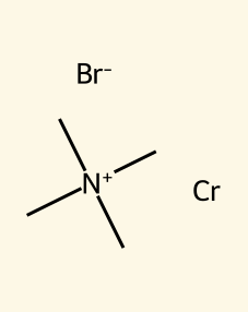 C[N+](C)(C)C.[Br-].[Cr]